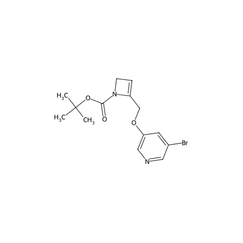 CC(C)(C)OC(=O)N1CC=C1COc1cncc(Br)c1